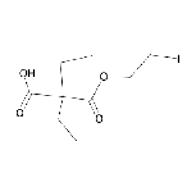 CCC(CC)(C(=O)O)C(=O)OCCI